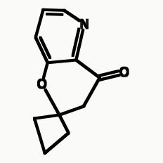 O=C1CC2(CCC2)Oc2cccnc21